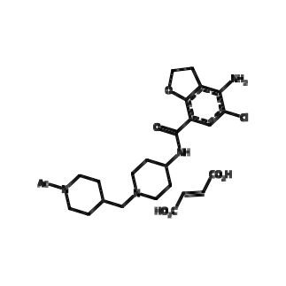 CC(=O)N1CCC(CN2CCC(NC(=O)c3cc(Cl)c(N)c4c3OCC4)CC2)CC1.O=C(O)C=CC(=O)O